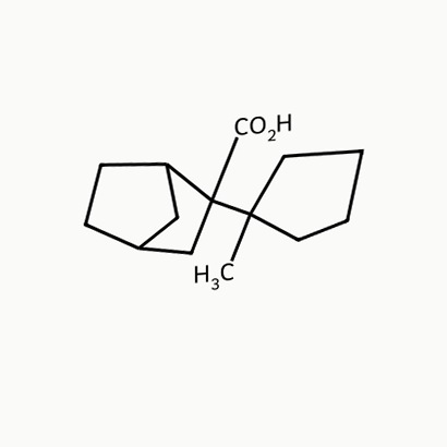 CC1(C2(C(=O)O)CC3CCC2C3)CCCC1